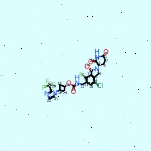 O=C1CC[C@H](N2Cc3c(Cl)cc(CNC(=O)OC4CC(n5ccnc5C(F)(F)F)C4)c(F)c3C2=O)C(=O)N1